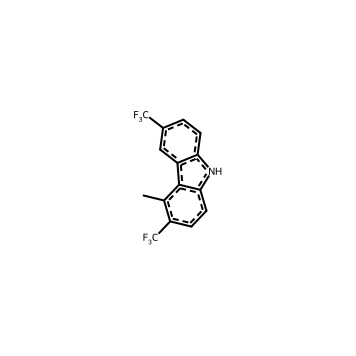 Cc1c(C(F)(F)F)ccc2[nH]c3ccc(C(F)(F)F)cc3c12